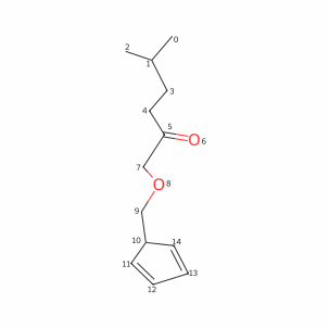 CC(C)CCC(=O)COCC1C=CC=C1